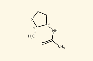 CC(=O)N[C@H]1CCS[C@H]1C